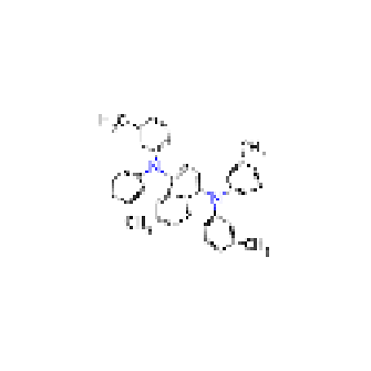 Cc1cccc(N(c2cccc(C)c2)c2ccc(N(c3cccc(C)c3)c3cccc(C)c3)c3ccccc23)c1